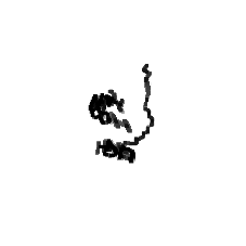 CCC(C)NCC(=O)O.CCCCCCCC/C=C\CCCCCCCC(=O)NO.[NaH]